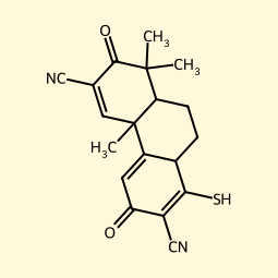 CC1(C)C(=O)C(C#N)=CC2(C)C3=CC(=O)C(C#N)=C(S)C3CCC12